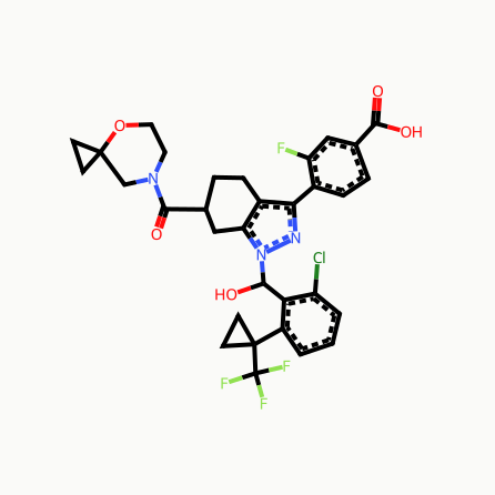 O=C(O)c1ccc(-c2nn(C(O)c3c(Cl)cccc3C3(C(F)(F)F)CC3)c3c2CCC(C(=O)N2CCOC4(CC4)C2)C3)c(F)c1